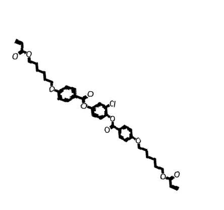 C=CC(=O)OCCCCCCOc1ccc(C(=O)Oc2ccc(OC(=O)c3ccc(OCCCCCCOC(=O)C=C)cc3)c(Cl)c2)cc1